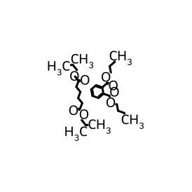 CC(C)COC(=O)CCCCC(=O)OCC(C)C.CCCCOC(=O)c1ccccc1C(=O)OCCCC